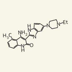 CCN1CCN(c2ccc3[nH]c(-c4c(N)c5c(C)cccc5[nH]c4=O)nc3c2)CC1